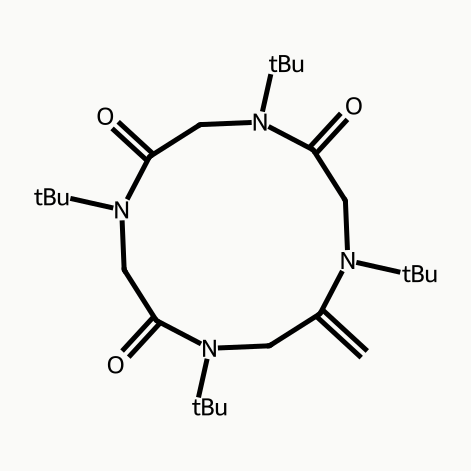 C=C1CN(C(C)(C)C)C(=O)CN(C(C)(C)C)C(=O)CN(C(C)(C)C)C(=O)CN1C(C)(C)C